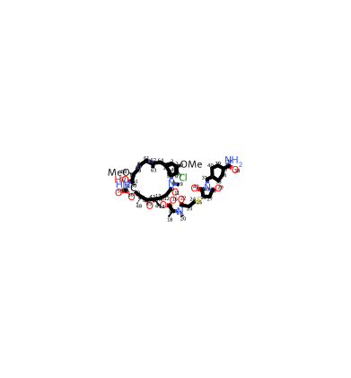 COc1cc2cc(c1Cl)N(C)C(=O)C[C@H](OC(=O)[C@H](C)N(C)C(=O)CCSC1CC(=O)N(CC3CCC(C(N)=O)CC3)C1=O)[C@]1(C)OC1[C@H](C)C1C[C@@](O)(NC(=O)O1)[C@H](OC)/C=C/C=C(\C)C2